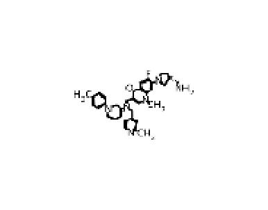 Cc1ccc(N2CCC[C@H](N(Cc3ccnc(C)c3)Cc3cn(C)c4cc(N5CC[C@H](CN)C5)c(F)cc4c3=O)C2)cc1